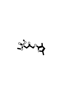 COP(=O)(CC(=O)COc1sc(C)cc1C)OC